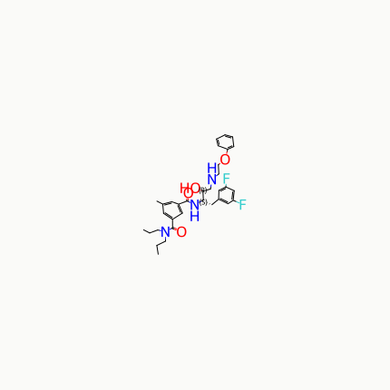 CCCN(CCC)C(=O)c1cc(C)cc(C(=O)N[C@@H](Cc2cc(F)cc(F)c2)[C@H](O)CNCCOc2ccccc2)c1